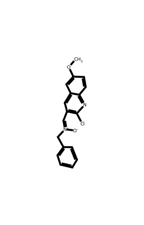 COc1ccc2nc(Cl)c(/C=[N+](\[O-])Cc3ccccc3)cc2c1